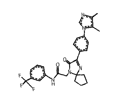 Cc1ncn(-c2ccc(C3=NC4(CCCC4)N(CC(=O)Nc4cccc(C(F)(F)F)c4)C3=O)cc2)c1C